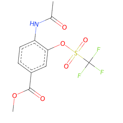 COC(=O)c1ccc(NC(C)=O)c(OS(=O)(=O)C(F)(F)F)c1